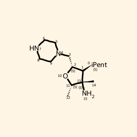 CCC[C@H](C)C1[C@@H](CN2CCNCC2)O[C@@H](C)[C@@]1(C)N